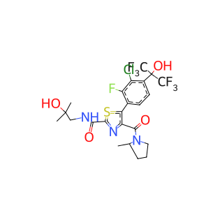 CC1CCCN1C(=O)c1nc(C(=O)NCC(C)(C)O)sc1-c1ccc(C(O)(C(F)(F)F)C(F)(F)F)c(Cl)c1F